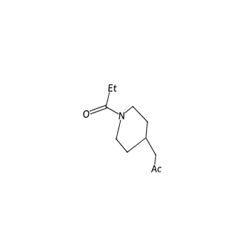 CCC(=O)N1CCC(CC(C)=O)CC1